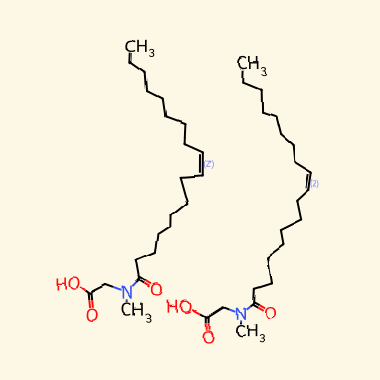 CCCCCCCC/C=C\CCCCCCCC(=O)N(C)CC(=O)O.CCCCCCCC/C=C\CCCCCCCC(=O)N(C)CC(=O)O